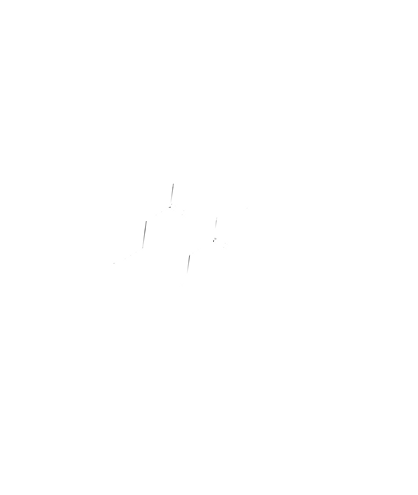 CCC(=O)CCC(=O)[O-].CCC(=O)CCC(=O)[O-].[Fe+2]